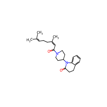 CC(C)=CCCC(C)=CC(=O)N1CCC(N2C(=O)CCc3ccccc32)CC1